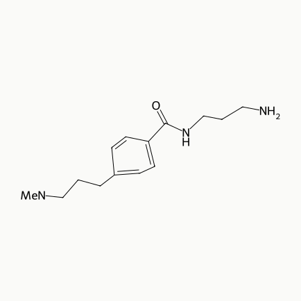 CNCCCc1ccc(C(=O)NCCCN)cc1